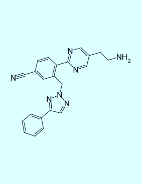 N#Cc1ccc(-c2ncc(CCN)cn2)c(Cn2ncc(-c3ccccc3)n2)c1